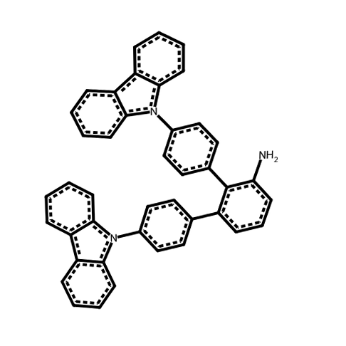 Nc1cccc(-c2ccc(-n3c4ccccc4c4ccccc43)cc2)c1-c1ccc(-n2c3ccccc3c3ccccc32)cc1